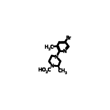 Cc1cc(Br)cnc1N1CCN(C(=O)O)[C@H](C)C1